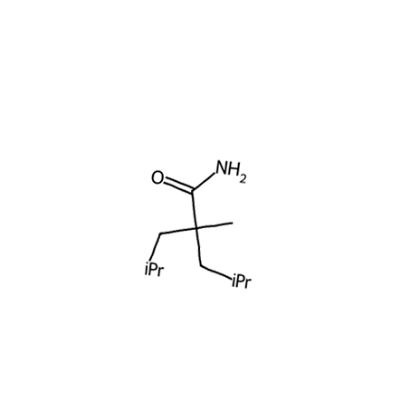 CC(C)CC(C)(CC(C)C)C(N)=O